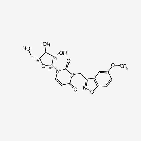 O=c1ccn([C@@H]2O[C@H](CO)C(O)[C@@H]2O)c(=O)n1Cc1noc2ccc(OC(F)(F)F)cc12